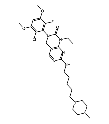 CCN1C(=O)N(c2c(F)c(OC)cc(OC)c2Cl)Cc2cnc(NCCCCCN3CCN(C)CC3)nc21